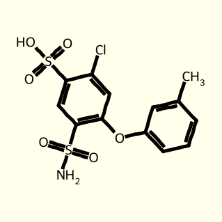 Cc1cccc(Oc2cc(Cl)c(S(=O)(=O)O)cc2S(N)(=O)=O)c1